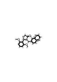 COc1cccc(OC)c1C1SCC(=O)N1Cc1ccc2nccnc2c1